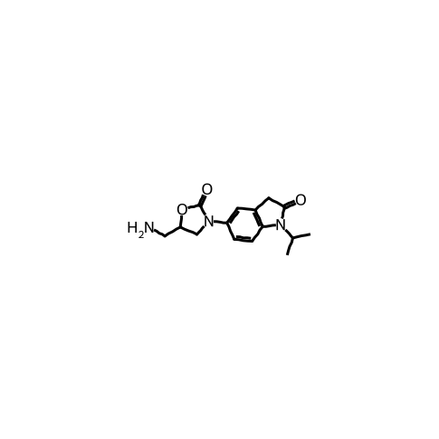 CC(C)N1C(=O)Cc2cc(N3CC(CN)OC3=O)ccc21